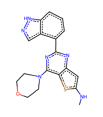 CNc1cc2nc(-c3cccc4[nH]ncc34)nc(N3CCOCC3)c2s1